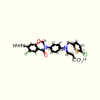 CNc1cc2c(cc1F)C(=O)N(c1ccc(N(CCC(=O)O)Cc3ccc(Cl)s3)cc1)CO2